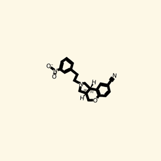 N#Cc1ccc2c(c1)[C@H]1CN(CCc3cccc([N+](=O)[O-])c3)C[C@@H]1CO2